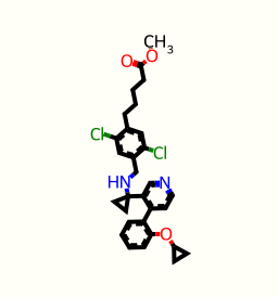 COC(=O)CCCCc1cc(Cl)c(CNC2(c3cnccc3-c3ccccc3OC3CC3)CC2)cc1Cl